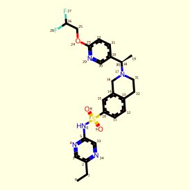 CCc1cnc(NS(=O)(=O)c2ccc3c(c2)CN([C@H](C)c2ccc(OCC(F)F)nc2)CC3)cn1